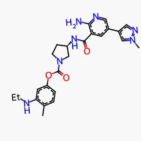 CCNc1cc(OC(=O)N2CC[C@@H](NC(=O)c3cc(-c4cnn(C)c4)cnc3N)C2)ccc1C